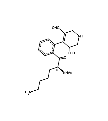 CC(=O)N[C@@H](CCCCN)C(=O)[n+]1ccccc1C1=C(C=O)CNCC1C=O